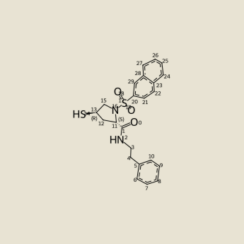 O=C(NCCc1ccccc1)[C@@H]1C[C@@H](S)CN1S(=O)(=O)c1ccc2ccccc2c1